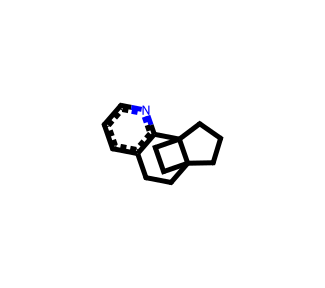 c1cnc2c(c1)CCC13CCCC21CC3